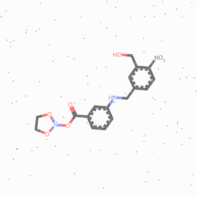 O=C(ON1OCCO1)c1cccc(NCc2ccc([N+](=O)[O-])c(CO)c2)c1